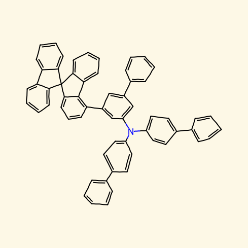 c1ccc(-c2ccc(N(c3ccc(-c4ccccc4)cc3)c3cc(-c4ccccc4)cc(-c4cccc5c4-c4ccccc4C54c5ccccc5-c5ccccc54)c3)cc2)cc1